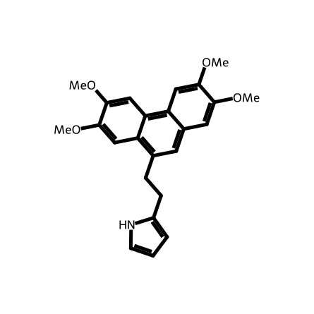 COc1cc2cc(CCc3ccc[nH]3)c3cc(OC)c(OC)cc3c2cc1OC